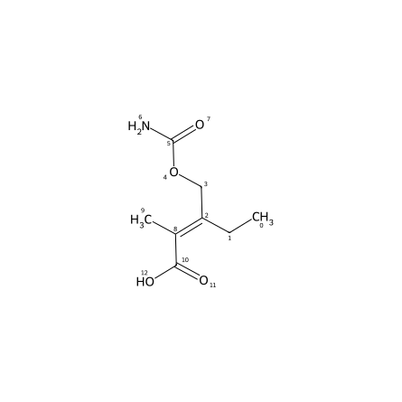 CCC(COC(N)=O)=C(C)C(=O)O